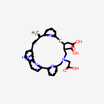 C=C1/C=C\c2ccc3ccc(nc3c2N)-c2cccc(n2)CN(CC(=O)O)CC(C(=O)O)C(CC(=O)O)Cc2cccc1n2